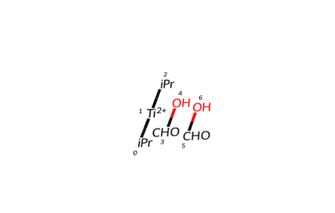 C[CH](C)[Ti+2][CH](C)C.O=[C-]O.O=[C-]O